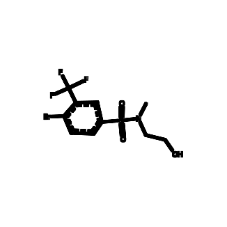 CN(CCO)S(=O)(=O)c1ccc(Br)c(C(F)(F)F)c1